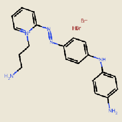 Br.NCCC[n+]1ccccc1/N=N/c1ccc(Nc2ccc(N)cc2)cc1.[Br-]